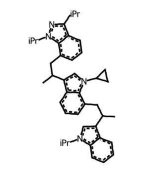 CC(C)c1nn(C(C)C)c2c(CC(C)c3cn(C4CC4)c4c(CC(C)c5cn(C(C)C)c6ccccc56)cccc34)cccc12